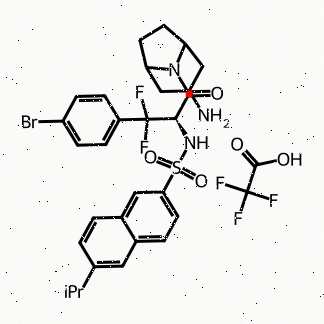 CC(C)c1ccc2cc(S(=O)(=O)N[C@H](C(=O)N3C4CCC3CC(N)C4)C(F)(F)c3ccc(Br)cc3)ccc2c1.O=C(O)C(F)(F)F